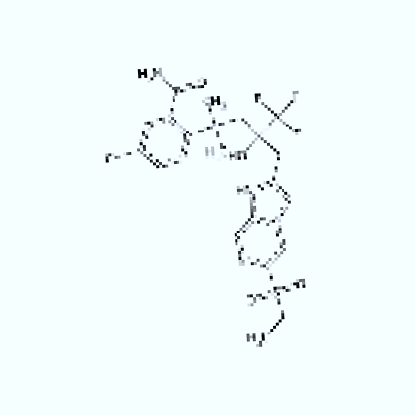 CCS(=O)(=O)c1cc2cc(CC(O)(CC(C)(C)c3ccc(Cl)cc3C(N)=O)C(F)(F)F)[nH]c2cn1